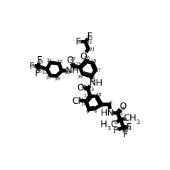 CC(C)(C(=O)NCc1ccc(Cl)c(C(=O)Nc2ccc(OCC(F)F)c(C(=O)NC3CCC(C(F)(F)F)CC3)c2)c1)C(F)(F)F